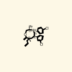 C=CC[C@@]1(C)C[C@H](c2cccc(Cl)c2)[C@@H](c2ccc(Cl)cc2)N[C@@H](C(C)C)COC1=C